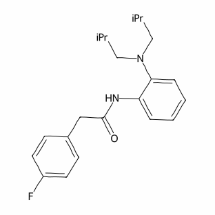 CC(C)CN(CC(C)C)c1ccccc1NC(=O)Cc1ccc(F)cc1